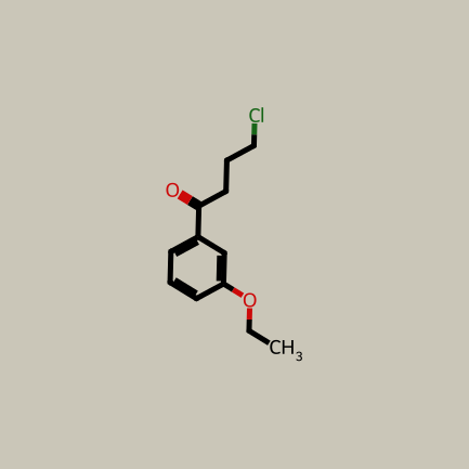 CCOc1cccc(C(=O)CCCCl)c1